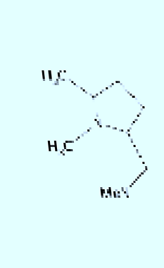 CNCC1CCC(C)N1C